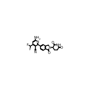 N#Cc1c(C(F)F)cc(N)nc1-c1ccc2c(c1)CN(C1CCC(=O)NC1=O)C2=O